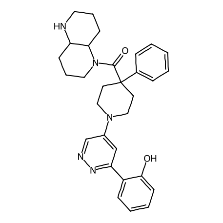 O=C(N1CCCC2NCCCC21)C1(c2ccccc2)CCN(c2cnnc(-c3ccccc3O)c2)CC1